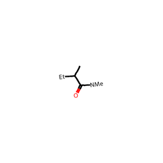 [CH2]NC(=O)C(C)CC